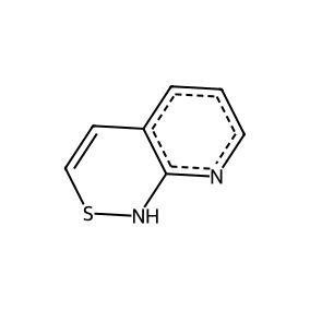 C1=Cc2cccnc2NS1